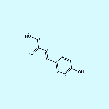 O=C(/C=C/c1ccc(O)cc1)CO